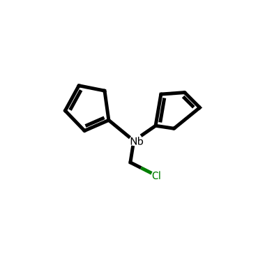 Cl[CH2][Nb]([C]1=CC=CC1)[C]1=CC=CC1